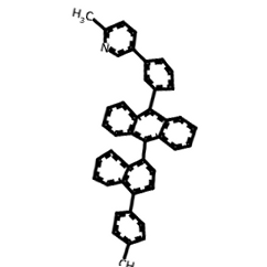 Cc1ccc(-c2ccc(-c3c4ccccc4c(-c4cccc(-c5ccc(C)nc5)c4)c4ccccc34)c3ccccc23)cc1